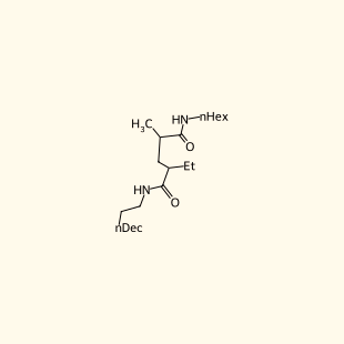 CCCCCCCCCCCCNC(=O)C(CC)CC(C)C(=O)NCCCCCC